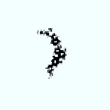 COc1nccc(-c2cc(C)c(-c3ccc(F)c4c3CC[C@H]4Oc3ccc4c(c3)OC[C@H]4CC(=O)O)c(C)c2)n1